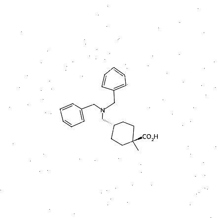 C[C@]1(C(=O)O)CC[C@H](CN(Cc2ccccc2)Cc2ccccc2)CC1